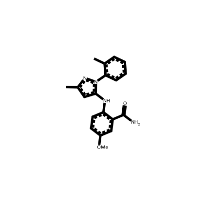 COc1ccc(Nc2cc(C)nn2-c2ccccc2C)c(C(N)=O)c1